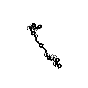 O=C(c1ccccc1)c1ccccc1NC(Cc1ccc(OCC=CC#Cc2ccc(C#CC=CCOc3ccc(CC(Nc4ccccc4C(=O)c4ccccc4)C(=O)O)cc3)cc2)cc1)C(=O)O